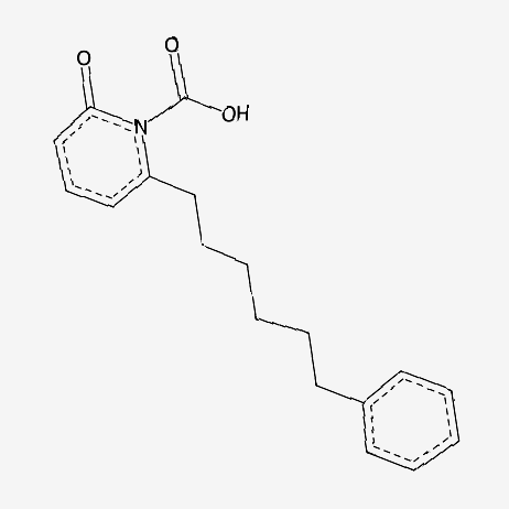 O=C(O)n1c(CCCCCCc2ccccc2)cccc1=O